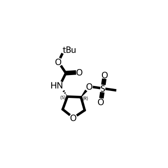 CC(C)(C)OC(=O)N[C@H]1COC[C@@H]1OS(C)(=O)=O